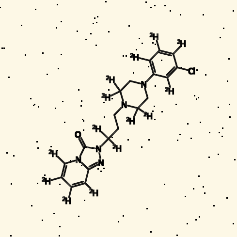 [2H]c1c([2H])c(Cl)c([2H])c(N2CC([2H])([2H])N(CCC([2H])([2H])n3nc4c([2H])c([2H])c([2H])c([2H])n4c3=O)C([2H])([2H])C2)c1[2H]